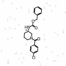 O=C(N[C@@H]1CCCN(C(=O)c2ccc(Cl)cc2)C1)OCc1ccccc1